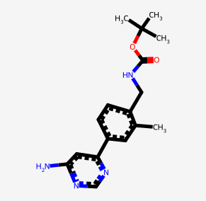 Cc1cc(-c2cc(N)ncn2)ccc1CNC(=O)OC(C)(C)C